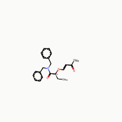 COC[C@H](OC=CC(=O)OC)C(=O)N(Cc1ccccc1)Cc1ccccc1